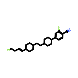 N#Cc1ccc(C2CCC(CCC3CCC(C=CCCF)CC3)CC2)cc1F